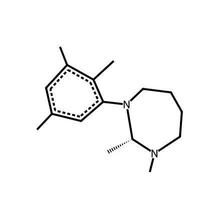 Cc1cc(C)c(C)c(N2CCCCN(C)[C@@H]2C)c1